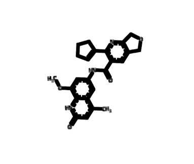 COc1cc(NC(=O)c2cc3c(nc2C2=CCCC2)COC3)cc2c(C)cc(=O)[nH]c12